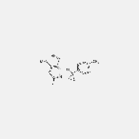 CNc1nc(C)nc(OC2(c3ccc(C(F)(F)F)cc3)CC2)c1C=N